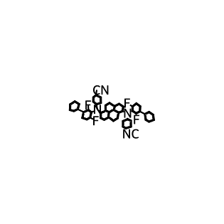 [C-]#[N+]c1ccc(N(c2c(F)ccc(-c3ccccc3)c2F)c2ccc3ccc4c(N(c5ccc(C#N)cc5)c5c(F)ccc(-c6ccccc6)c5F)ccc5ccc2c3c54)cc1